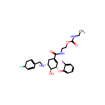 CCNC(=O)OCCNC(=O)C1=C[C@H](Oc2ccccc2I)[C@@H](O)[C@H](NCC2=CCC(F)C=C2)C1